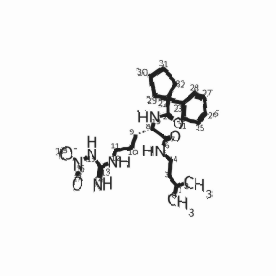 CC(C)C[CH]NC(=O)[C@H](CCCNC(=N)N[N+](=O)[O-])NC(=O)C1(c2ccccc2)CCCC1